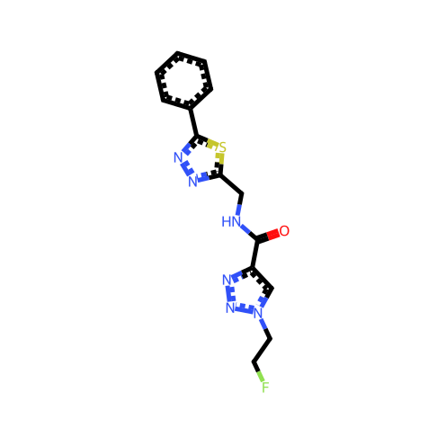 O=C(NCc1nnc(-c2ccccc2)s1)c1cn(CCF)nn1